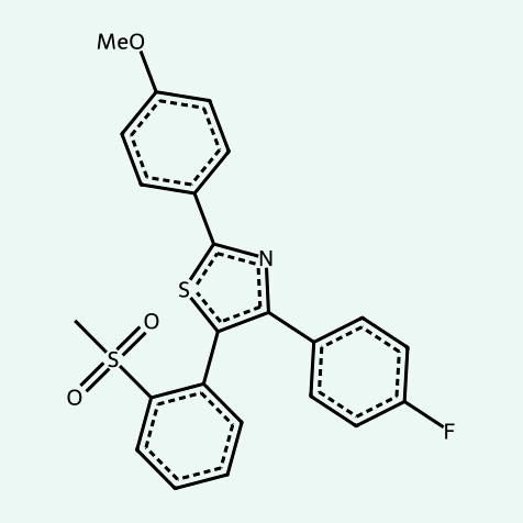 COc1ccc(-c2nc(-c3ccc(F)cc3)c(-c3ccccc3S(C)(=O)=O)s2)cc1